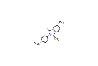 C=C1c2ccc(OC)cc2C(=O)N1c1ccc(OC)cc1